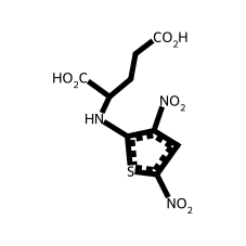 O=C(O)CCC(Nc1sc([N+](=O)[O-])cc1[N+](=O)[O-])C(=O)O